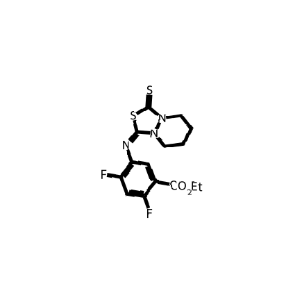 CCOC(=O)c1cc(/N=c2/sc(=S)n3n2CCCC3)c(F)cc1F